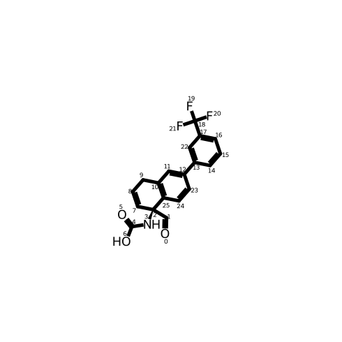 O=C[C@]1(NC(=O)O)C=CCc2cc(-c3cccc(C(F)(F)F)c3)ccc21